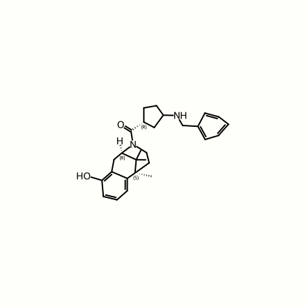 CC1(C)[C@H]2Cc3c(O)cccc3[C@]1(C)CCN2C(=O)[C@@H]1CCC(NCc2ccccc2)C1